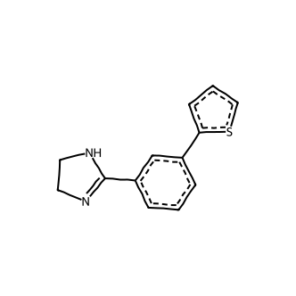 c1cc(C2=NCCN2)cc(-c2cccs2)c1